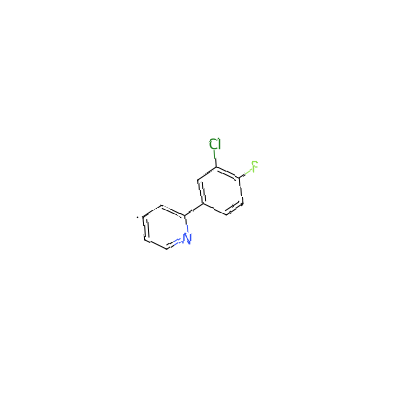 Fc1ccc(-c2c[c]ccn2)cc1Cl